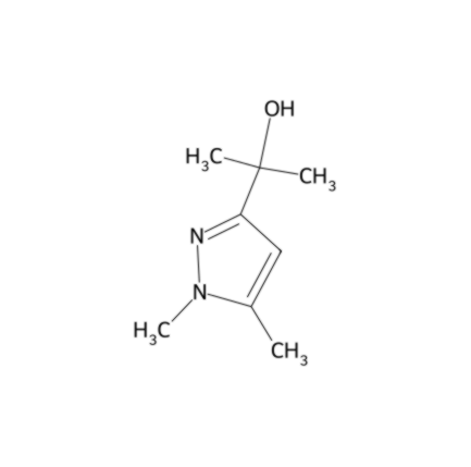 Cc1cc(C(C)(C)O)nn1C